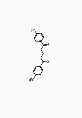 CC(C)c1ccc(C(=S)CCCC(=S)c2ccc(C(C)C)cc2)cc1